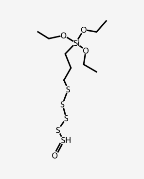 CCO[Si](CCCSSSS[SH]=O)(OCC)OCC